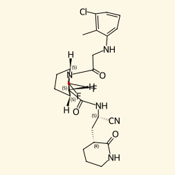 Cc1c(Cl)cccc1NCC(=O)N1[C@H]2CC[C@@H]([C@H]1C(=O)N[C@H](C#N)C[C@H]1CCCNC1=O)C(F)(F)C2